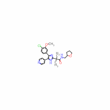 COc1cc(-c2nc(C(C)(C)C(=O)NCC3CCCO3)[nH]c2-c2ccncc2)ccc1Cl